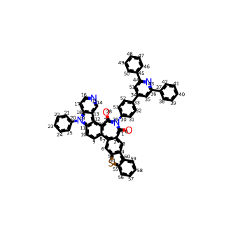 O=c1c2cc3c(cc2c2ccc4c(c5cnccc5n4-c4ccccc4)c2c(=O)n1-c1ccc(-c2cc(-c4ccccc4)nc(-c4ccccc4)c2)cc1)sc1ccccc13